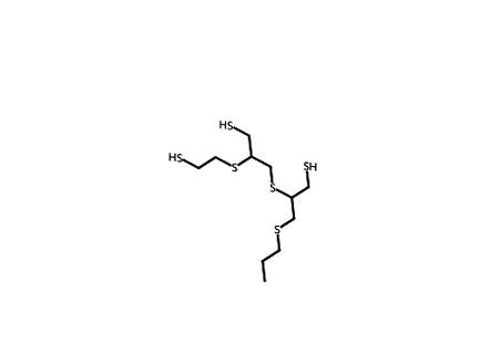 CCCSCC(CS)SCC(CS)SCCS